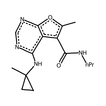 CCCNC(=O)c1c(C)oc2ncnc(NC3(C)CC3)c12